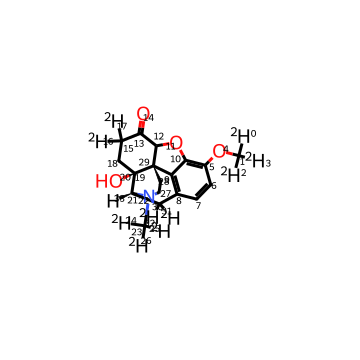 [2H]C([2H])([2H])Oc1ccc2c3c1OC1C(=O)C([2H])([2H])C[C@@]4(O)[C@H](N(C([2H])([2H])[2H])CC[C@]314)C2([2H])[2H]